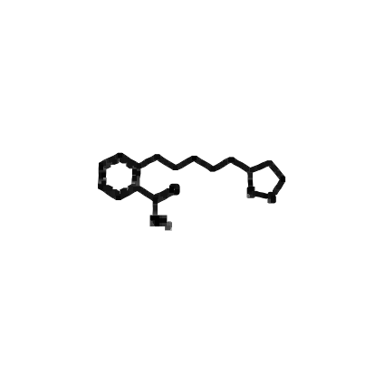 NC(=O)c1ccccc1CCCCCC1CCSS1